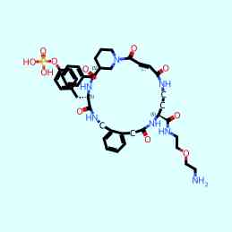 NCCOCCNC(=O)[C@@H]1CCNC(=O)/C=C/C(=O)N2CCC[C@](Cc3ccccc3)(C2)C(=O)N[C@@H](Cc2ccc(OP(=O)(O)O)cc2)C(=O)NCc2ccccc2CC(=O)N1